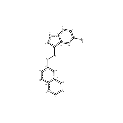 Brc1cnc2onc(CCc3ccc4ncccc4c3)c2c1